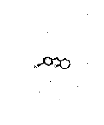 N#Cc1ccc(/C=C2/CCCCCC2=O)cc1